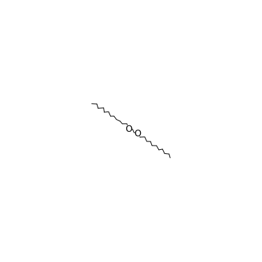 CCCCCCCCCCCCOCCOCCCCCCCCCCC